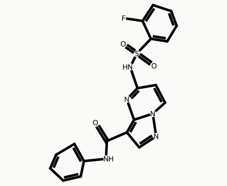 O=C(Nc1ccccc1)c1cnn2ccc(NS(=O)(=O)c3ccccc3F)nc12